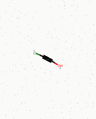 OC#CCl